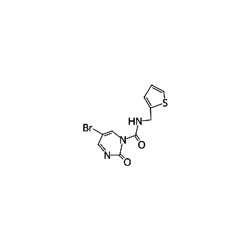 O=C(NCc1cccs1)n1cc(Br)cnc1=O